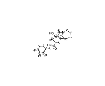 O=C(NCc1ccc(F)c(Cl)c1F)c1cn2c(c(O)c1=O)C(=O)N1CCCCC2C1